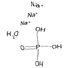 O.O=P(O)(O)O.[Na+].[Na+].[Na+]